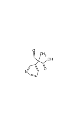 CC(C=O)(C(=O)O)c1cccnc1